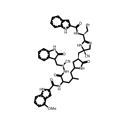 COc1cccc2[nH]c(C(=O)NC(CC(C)CC3C[C@@H](C[C@@]4(C#N)CN=C([C@H](CC(C)C)NC(=O)c5cc6ccccc6[nH]5)N4)C(=O)N3)C(=O)NN(C#N)CC3C(=O)Nc4ccccc43)cc12